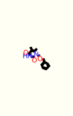 Cc1c(C)n(COCc2ccccc2)c(=O)[nH]c1=O